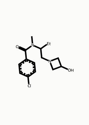 CCC(CN1CC(O)C1)N(C)C(=O)c1ccc(Cl)cc1